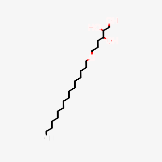 CCCCCCCCCCCCCCCCOCCCC(O)C(O)CO